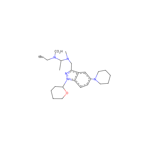 CC(N(C)Cc1nn(C2CCCCO2)c2ccc(N3CCCCC3)cc12)N(CC(C)(C)C)C(=O)O